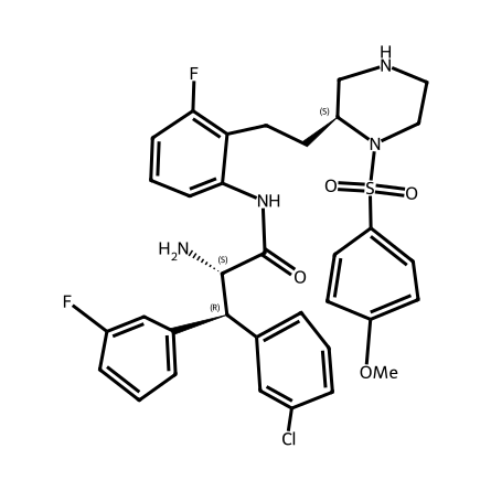 COc1ccc(S(=O)(=O)N2CCNC[C@@H]2CCc2c(F)cccc2NC(=O)[C@@H](N)[C@H](c2cccc(F)c2)c2cccc(Cl)c2)cc1